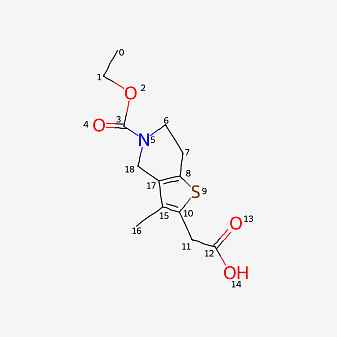 CCOC(=O)N1CCc2sc(CC(=O)O)c(C)c2C1